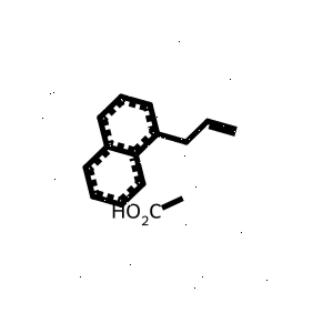 C=CCc1cccc2ccccc12.CC(=O)O